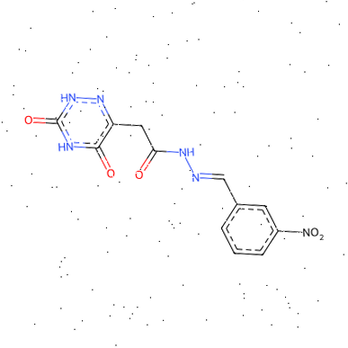 O=C(Cc1n[nH]c(=O)[nH]c1=O)N/N=C/c1cccc([N+](=O)[O-])c1